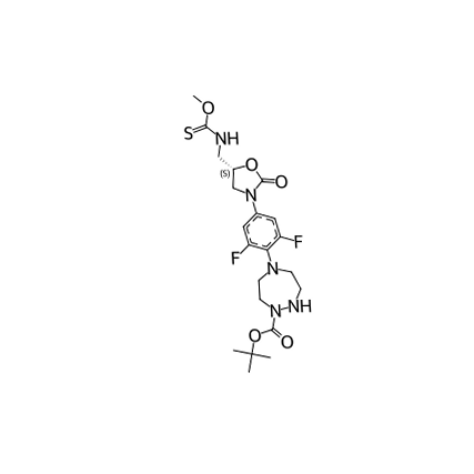 COC(=S)NC[C@H]1CN(c2cc(F)c(N3CCNN(C(=O)OC(C)(C)C)CC3)c(F)c2)C(=O)O1